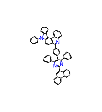 c1ccc(-c2nc(-c3cc4ccccc4c4ccccc34)nc(-c3ccccc3)c2-c2ccc(-c3nc4ccccc4c4c3ccc3c4c4ccccc4n3-c3ccccc3)cc2)cc1